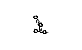 Cc1ccc(CC(N=Cc2cccc(OCc3ccccc3)c2)c2ccccc2)cc1